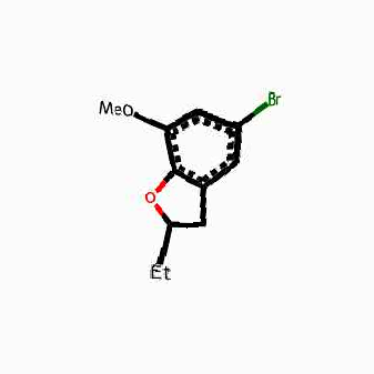 CCC1Cc2cc(Br)cc(OC)c2O1